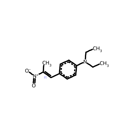 CCN(CC)c1ccc(/C=C(\C)[N+](=O)[O-])cc1